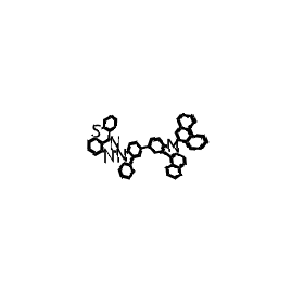 c1ccc2c(c1)Sc1cccc3nc(-n4c5ccccc5c5cc(-c6ccc7c(c6)c6c8ccccc8ccc6n7-c6cc7ccccc7c7ccccc67)ccc54)nc-2c13